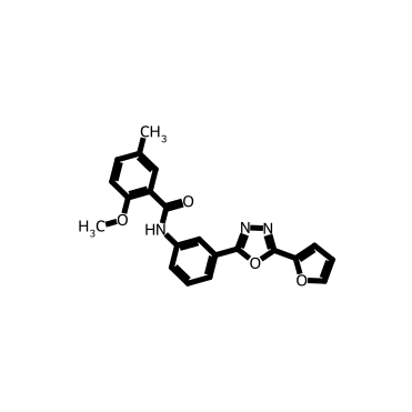 COc1ccc(C)cc1C(=O)Nc1cccc(-c2nnc(-c3ccco3)o2)c1